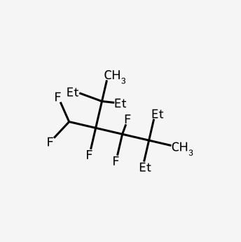 CCC(C)(CC)C(F)(F)C(F)(C(F)F)C(C)(CC)CC